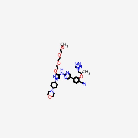 COCCOCCOCCOc1nn([C@H]2CC[C@H](N3CCOCC3)CC2)cc1Nc1ncc(-c2ccc(C#N)c(O[C@@H](C)Cn3cnnn3)c2)cn1